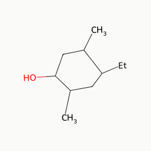 CCC1CC(C)C(O)CC1C